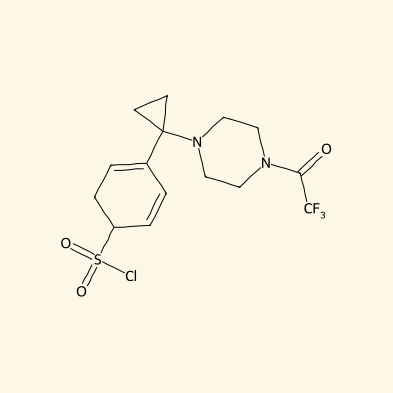 O=C(N1CCN(C2(C3=CCC(S(=O)(=O)Cl)C=C3)CC2)CC1)C(F)(F)F